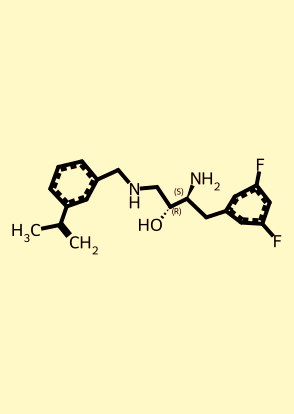 C=C(C)c1cccc(CNC[C@@H](O)[C@@H](N)Cc2cc(F)cc(F)c2)c1